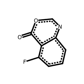 O=c1ocnc2cccc(F)c12